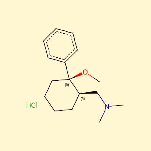 CO[C@]1(c2ccccc2)CCCC[C@@H]1CN(C)C.Cl